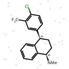 CN[C@@H]1CC[C@H](c2ccc(Cl)c(C(F)(F)F)c2)c2ccccc21